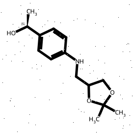 C[C@H](O)c1ccc(NCC2COC(C)(C)O2)cc1